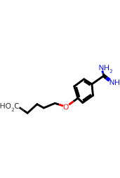 N=C(N)c1ccc(OCCCCC(=O)O)cc1